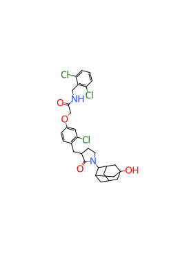 O=C(COc1ccc(CC2CCN(C3C4CC5CC3CC(O)(C5)C4)C2=O)c(Cl)c1)NCc1c(Cl)cccc1Cl